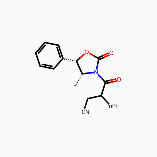 CCCC(CC#N)C(=O)N1C(=O)O[C@@H](c2ccccc2)[C@H]1C